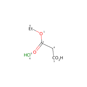 CCOC(=O)CC(=O)O.Cl